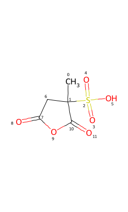 CC1(S(=O)(=O)O)CC(=O)OC1=O